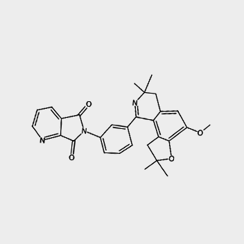 COc1cc2c(c3c1OC(C)(C)C3)C(c1cccc(N3C(=O)c4cccnc4C3=O)c1)=NC(C)(C)C2